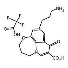 NCCCc1cc2c3c(c1)c(=O)c(C(=O)O)cn3CCCO2.O=C(O)C(F)(F)F